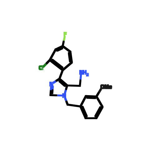 COc1cccc(Cn2cnc(-c3ccc(F)cc3Cl)c2CN)c1